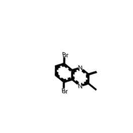 Cc1nc2c(Br)ccc(Br)c2nc1C